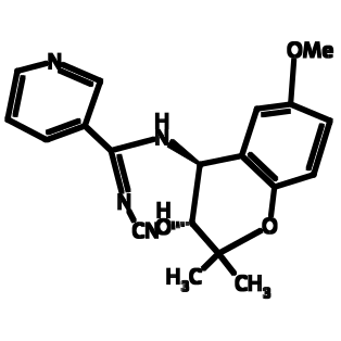 COc1ccc2c(c1)[C@H](N/C(=N\C#N)c1cccnc1)[C@@H](O)C(C)(C)O2